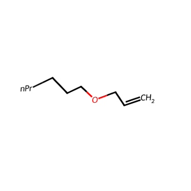 C=CCOCCCCCC